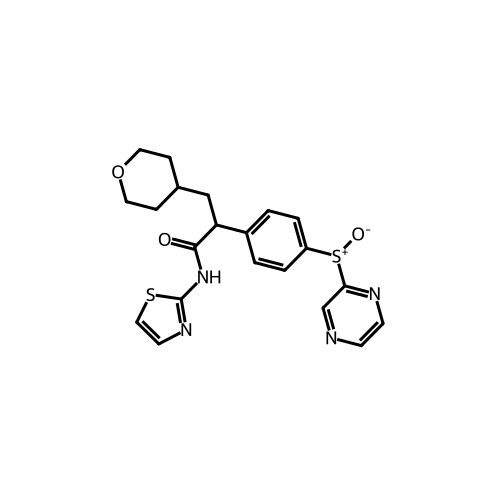 O=C(Nc1nccs1)C(CC1CCOCC1)c1ccc([S+]([O-])c2cnccn2)cc1